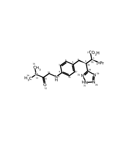 CCC[C@H](C(=O)O)[C@H](Cc1ccc(NCC(=O)N(C)C)cc1)c1nn[nH]n1